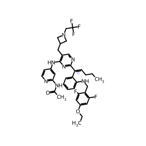 CCC/C=C(/c1ncc(CC2CN(CC(F)(F)F)C2)c(Nc2ccnc(NC(C)=O)c2)n1)c1ccccc1NCc1c(F)cc(OCC)cc1F